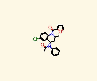 CC(=O)N(c1ccccc1)C1CC(C)N(C(=O)c2ccco2)c2ccc(Cl)cc21